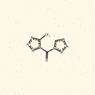 O=C(n1cnnn1)n1nnnc1C(F)(F)F